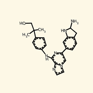 CC(C)(CO)c1ccc(Nc2nc(-c3ccc4c(c3)NC(N)C4)cn3ccnc23)cc1